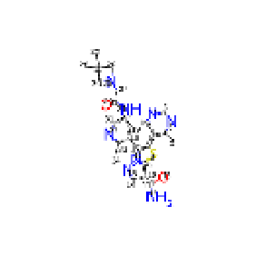 Cc1ncncc1-c1sc2c(C(N)=O)cnn2c1-c1cc(NC(=O)CN2CC(C)(C)C2)cnc1C